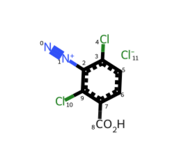 N#[N+]c1c(Cl)ccc(C(=O)O)c1Cl.[Cl-]